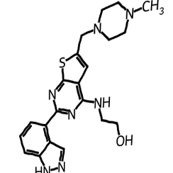 CN1CCN(Cc2cc3c(NCCO)nc(-c4cccc5[nH]ncc45)nc3s2)CC1